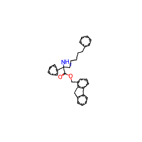 NC(CCCCCc1ccccc1)(C(=O)OCc1cccc2c1Cc1ccccc1-2)c1ccccc1